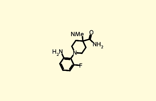 CNC1(C(N)=O)CCN(c2c(N)cccc2F)CC1